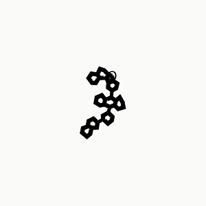 c1cc(-c2ccc3ccccc3c2)cc(-c2c3ccccc3c(-c3ccc4oc5ccc6ccccc6c5c4c3)c3ccccc23)c1